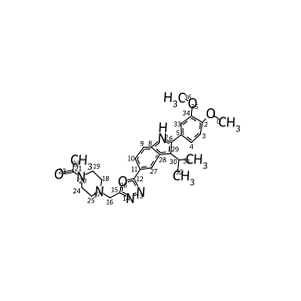 COc1ccc(-c2[nH]c3ccc(-c4nnc(CN5CCN(C(C)=O)CC5)o4)cc3c2C(C)C)cc1OC